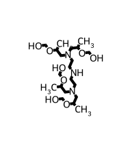 CC(CN(CCNCCN(CC(C)OCO)CC(C)OCO)CC(C)OCO)OCO